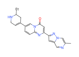 CCC1CC(c2ccc3nc(-c4cc5cnc(C)cn5n4)cc(=O)n3c2)=CCN1